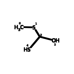 CSC(O)S